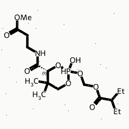 CCC(CC)C(=O)OCO[PH]1(O)OCC(C)(C)[C@H](C(=O)NCCC(=O)OC)O1